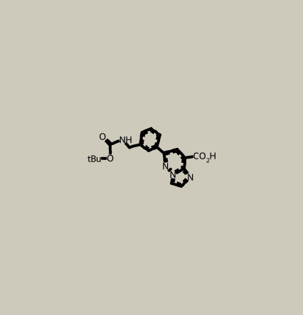 CC(C)(C)OC(=O)NCc1cccc(-c2cc(C(=O)O)c3nccn3n2)c1